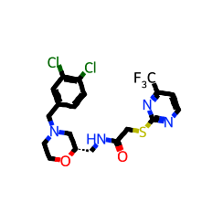 O=C(CSc1nccc(C(F)(F)F)n1)NC[C@H]1CN(Cc2ccc(Cl)c(Cl)c2)CCO1